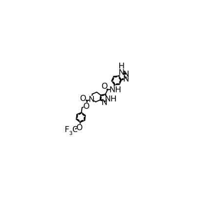 O=C(Nc1ccc2[nH]nnc2c1)c1[nH]nc2c1CCN(C(=O)OCc1ccc(OC(F)(F)F)cc1)C2